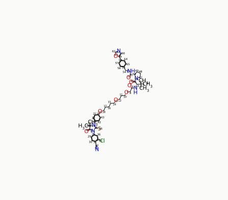 CC(C)(C)[C@H](NC(=O)COCCCOCCCCCOc1ccc(N2C(=S)N(c3ccc(C#N)c(Cl)c3)C(=O)C2(C)C)cc1)C(=O)N1CCC[C@H]1C(=O)NCc1ccc(-c2cnco2)cc1